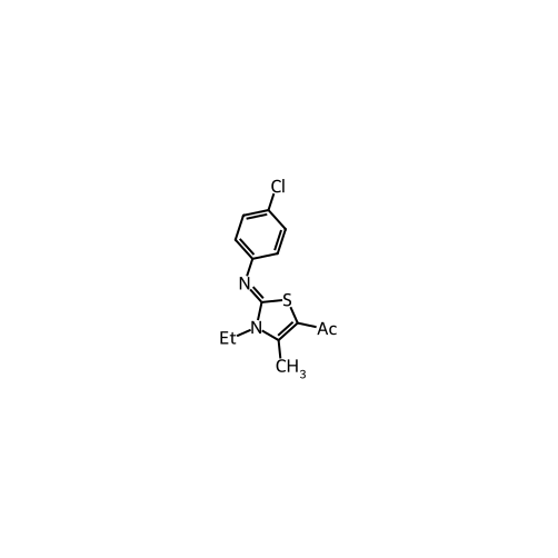 CCn1c(C)c(C(C)=O)s/c1=N\c1ccc(Cl)cc1